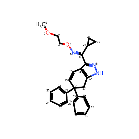 COCCON=C(c1n[nH]c2c1C=CC(c1ccccc1)(c1ccccc1)C2)C1CC1